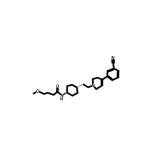 COCCCC(=O)N[C@H]1CC[C@H](CCN2CC=C(c3cccc(C#N)c3)CC2)CC1